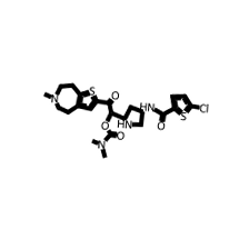 CN1CCc2cc(C(=O)C(OC(=O)N(C)C)C3CC(NC(=O)c4ccc(Cl)s4)CN3)sc2CC1